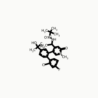 CC(N[S@@+]([O-])C(C)(C)C)c1cc(=O)n(C)cc1-c1cc(C(C)(C)O)ccc1-c1ccc(F)cc1Cl